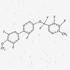 Cc1ccc(C(F)(F)Oc2ccc(-c3cc(F)c(OC(F)(F)F)c(F)c3)c(F)c2)c(F)c1F